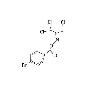 O=C(ON=C(CCl)C(Cl)Cl)c1ccc(Br)cc1